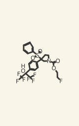 O=C(OCCF)N1CCC(c2ccc(C(O)(C(F)(F)F)C(F)(F)F)cc2)(S(=O)(=O)c2ccccc2)C1